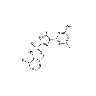 COc1cc(C)nc(-n2nc(S(=O)(=O)Nc3c(F)cccc3F)nc2C)n1